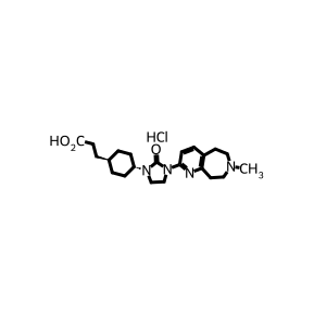 CN1CCc2ccc(N3CCN([C@H]4CC[C@H](CCC(=O)O)CC4)C3=O)nc2CC1.Cl